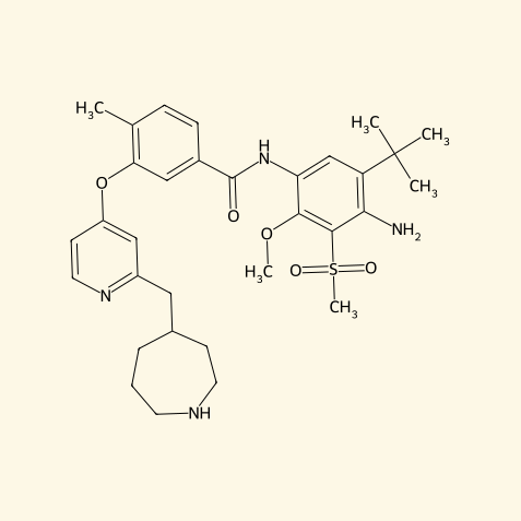 COc1c(NC(=O)c2ccc(C)c(Oc3ccnc(CC4CCCNCC4)c3)c2)cc(C(C)(C)C)c(N)c1S(C)(=O)=O